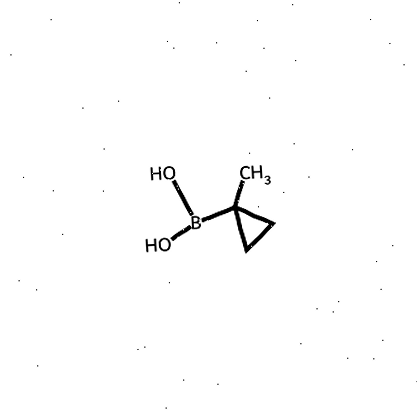 CC1(B(O)O)CC1